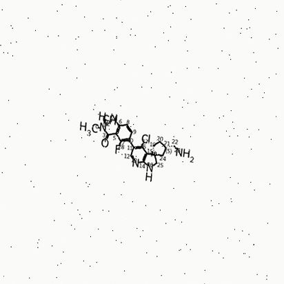 CN(C)C(=O)c1c(N)ccc(-c2cnc3c(c2Cl)[C@]2(CC[C@H](CN)C2)CN3)c1F